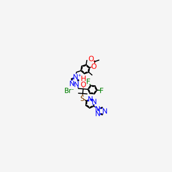 CC(=O)Oc1c(C)cc(C[n+]2cnn(C[C@@](O)(c3ccc(F)cc3F)C(C)(C)Sc3ccc(-n4cncn4)nn3)c2)cc1C.[Br-]